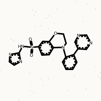 O=S(=O)(Nc1nccs1)c1ccc2c(c1)OCCN2c1ccccc1-c1cncnc1